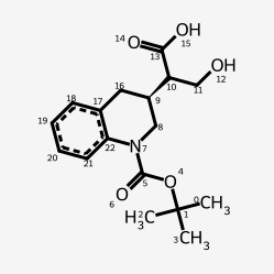 CC(C)(C)OC(=O)N1C[C@H](C(CO)C(=O)O)Cc2ccccc21